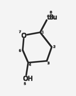 CC(C)(C)C1CCC(O)CO1